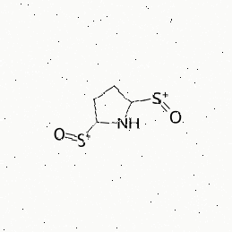 O=[S+]C1CCC([S+]=O)N1